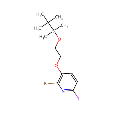 CC(C)(C)[Si](C)(C)OCCOc1ccc(I)nc1Br